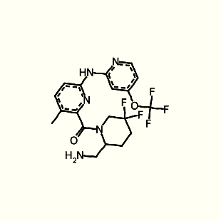 Cc1ccc(Nc2cc(OC(F)(F)F)ccn2)nc1C(=O)N1CC(F)(F)CCC1CN